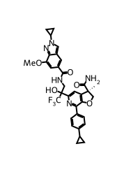 COc1cc(C(=O)NCC(O)(c2cc3c(c(-c4ccc(C5CC5)cc4)n2)OC[C@]3(C)C(N)=O)C(F)(F)F)cc2cn(C3CC3)nc12